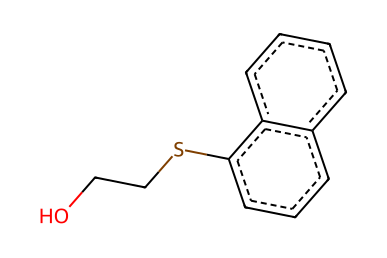 OCCSc1cccc2ccccc12